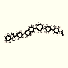 ISc1ccc(-c2ccc(C3=CC=C(c4ccc5cc(-c6ccc(-c7nc8ccccc8o7)cc6)ccc5c4)C=CC3)cc2)cc1